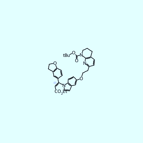 CCOC(=O)/C=C(/c1ccc2c(c1)CCO2)n1ccc2cc(OCCc3ccc4c(n3)N(C(=O)OC(C)(C)C)CCC4)ccc21